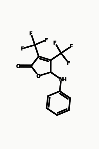 O=C1OC(Nc2ccccc2)C(C(F)(F)F)=C1C(F)(F)F